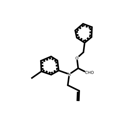 C=CCN(c1cccc(C)c1)C(C=O)OCc1ccccc1